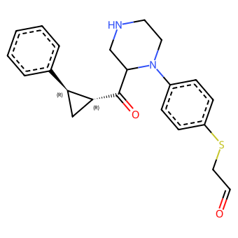 O=CCSc1ccc(N2CCNCC2C(=O)[C@@H]2C[C@H]2c2ccccc2)cc1